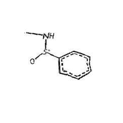 [CH2]N[S+]([O-])c1ccccc1